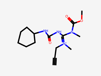 C#CC[N+](C)=C(NC(=O)NC1CCCCC1)N(C)C(=O)OC